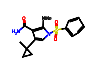 CNc1c(C(N)=O)c(C2(C)CC2)cn1S(=O)(=O)c1ccccc1